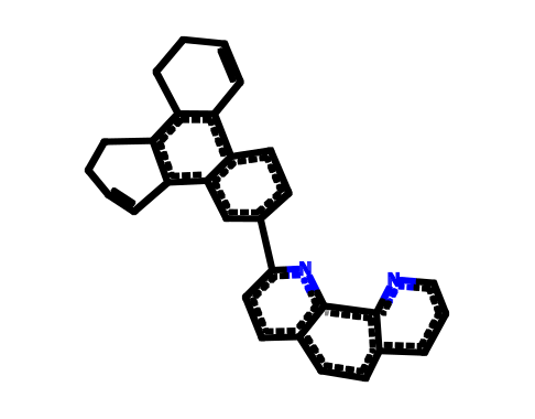 C1=Cc2c(c3c(c4cc(-c5ccc6ccc7cccnc7c6n5)ccc24)C=CCC3)CC1